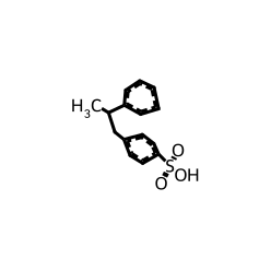 CC(Cc1ccc(S(=O)(=O)O)cc1)c1ccccc1